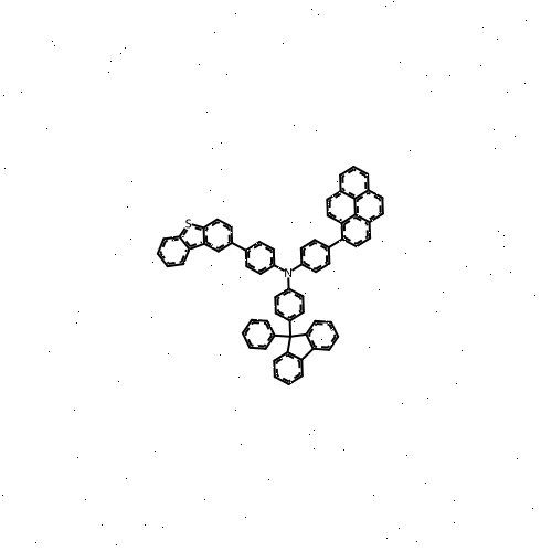 c1ccc(C2(c3ccc(N(c4ccc(-c5ccc6sc7ccccc7c6c5)cc4)c4ccc(-c5ccc6ccc7cccc8ccc5c6c78)cc4)cc3)c3ccccc3-c3ccccc32)cc1